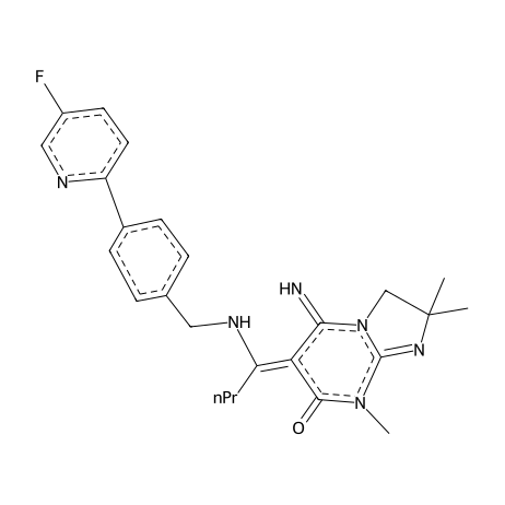 CCC/C(NCc1ccc(-c2ccc(F)cn2)cc1)=c1\c(=O)n(C)c2n(c1=N)CC(C)(C)N=2